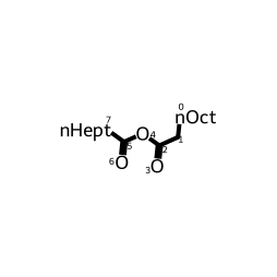 CCCCCCCCCC(=O)OC(=O)CCCCCCC